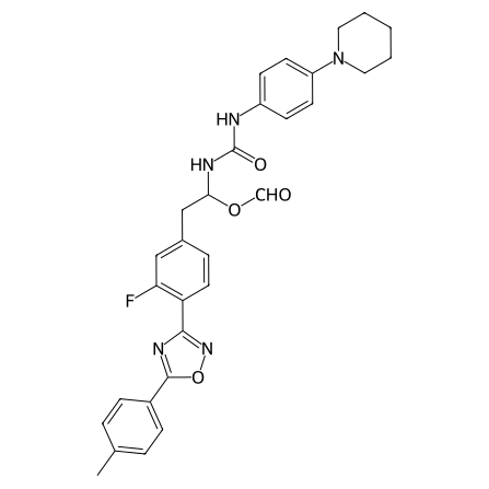 Cc1ccc(-c2nc(-c3ccc(CC(NC(=O)Nc4ccc(N5CCCCC5)cc4)OC=O)cc3F)no2)cc1